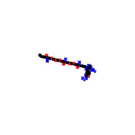 C#CCCCC(=O)NCCOCCOCCOCCC(=O)NCCOCCOCCC(=O)NCCCCn1nc(-c2ccc3oc(N)nc3c2)c2c(N)ncnc21